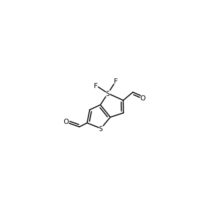 O=CC1=Cc2sc(C=O)cc2S1(F)F